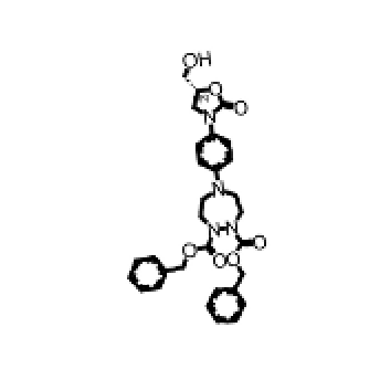 O=C1O[C@@H](CO)CN1c1ccc(N2CCN(C(=O)OCc3ccccc3)N(C(=O)OCc3ccccc3)CC2)cc1